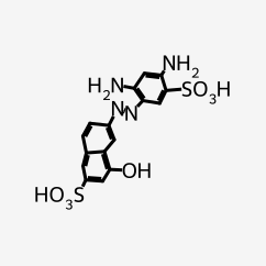 Nc1cc(N)c(S(=O)(=O)O)cc1N=Nc1ccc2cc(S(=O)(=O)O)cc(O)c2c1